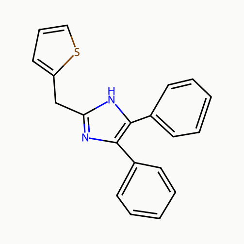 c1ccc(-c2nc(Cc3cccs3)[nH]c2-c2ccccc2)cc1